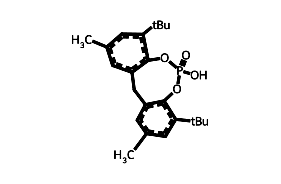 Cc1cc2c(c(C(C)(C)C)c1)OP(=O)(O)Oc1c(cc(C)cc1C(C)(C)C)C2